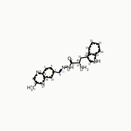 Cc1cnc2ccc(/C=N/NC(=O)[C@H](N)Cc3c[nH]c4ccccc34)cc2n1